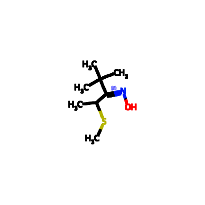 CSC(C)/C(=N\O)C(C)(C)C